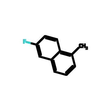 Cc1cccc2cc(F)ccc12